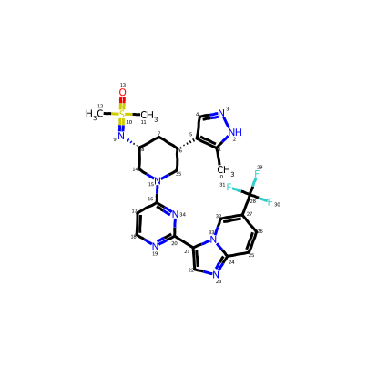 Cc1[nH]ncc1[C@H]1C[C@@H](N=S(C)(C)=O)CN(c2ccnc(-c3cnc4ccc(C(F)(F)F)cn34)n2)C1